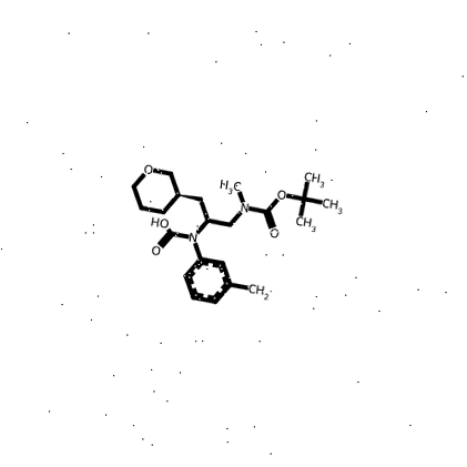 [CH2]c1cccc(N(C(=O)O)C(C[C@H]2CCCOC2)CN(C)C(=O)OC(C)(C)C)c1